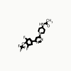 CC(=O)NC1CCN(c2cc(-c3cc(F)c(OC(F)(F)F)c(F)c3)ncn2)CC1